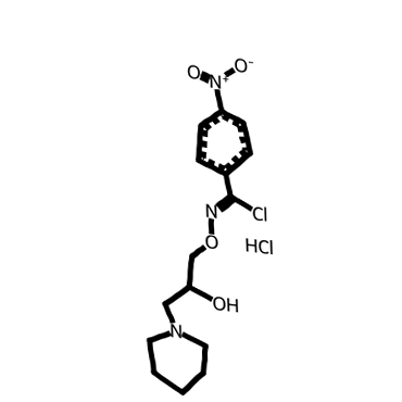 Cl.O=[N+]([O-])c1ccc(C(Cl)=NOCC(O)CN2CCCCC2)cc1